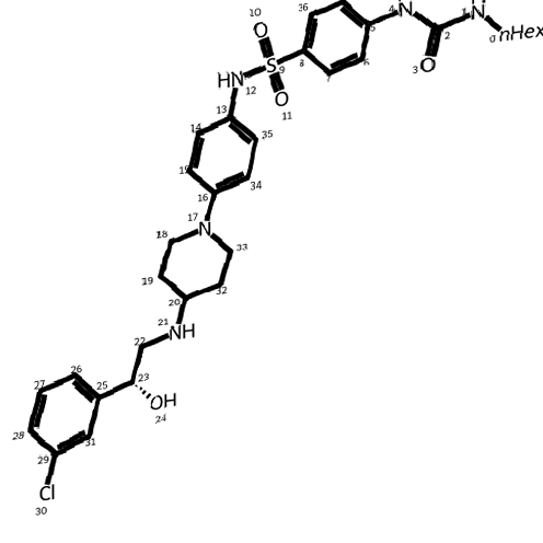 CCCCCCNC(=O)Nc1ccc(S(=O)(=O)Nc2ccc(N3CCC(NC[C@H](O)c4cccc(Cl)c4)CC3)cc2)cc1